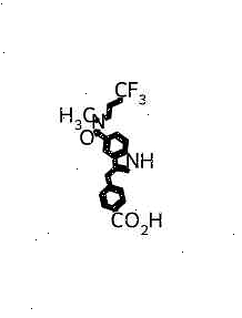 CN(CCCC(F)(F)F)C(=O)c1ccc2[nH]cc(Cc3ccc(C(=O)O)cc3)c2c1